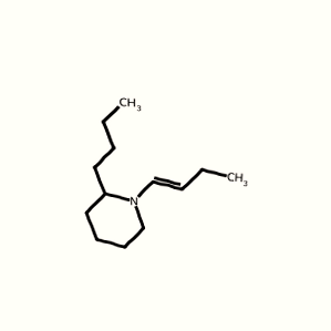 CCC=CN1CCCCC1CCCC